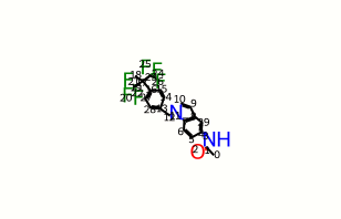 CC(=O)Nc1ccc2c(ccn2Cc2ccc(C(C)(C(F)(F)F)C(F)(F)F)cc2)c1